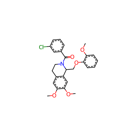 COc1cc2c(cc1OC)C(COc1ccccc1OC)N(C(=O)c1cccc(Cl)c1)CC2